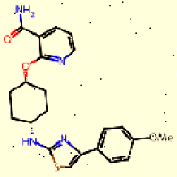 COc1ccc(-c2csc(N[C@H]3CC[C@H](Oc4ncccc4C(N)=O)CC3)n2)cc1